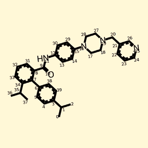 CC(C)c1ccc(-c2c(C(=O)Nc3ccc(N4CCN(Cc5cccnc5)CC4)cc3)cccc2C(C)C)cc1